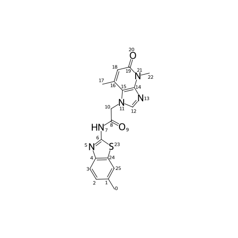 Cc1ccc2nc(NC(=O)Cn3cnc4c3c(C)cc(=O)n4C)sc2c1